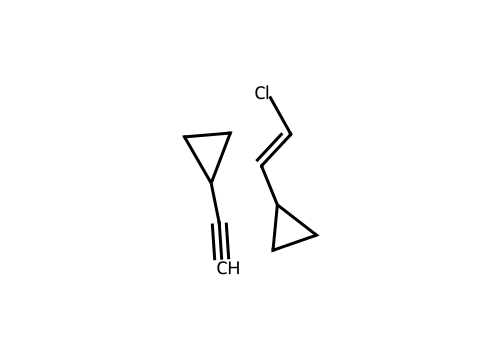 C#CC1CC1.ClC=CC1CC1